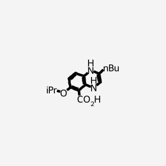 CCCCC1=CNc2c(ccc(OC(C)C)c2C(=O)O)N1